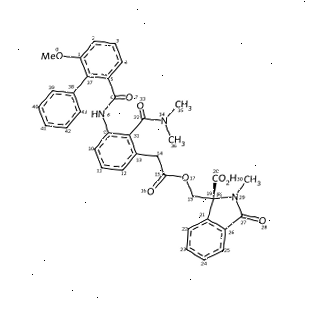 COc1cccc(C(=O)Nc2cccc(CC(=O)OC[C@@]3(C(=O)O)c4ccccc4C(=O)N3C)c2C(=O)N(C)C)c1-c1ccccc1